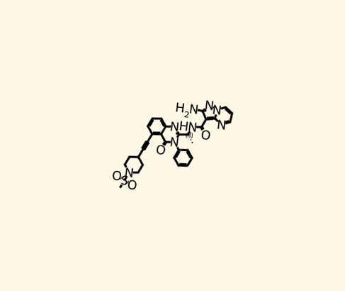 C[C@@H](NC(=O)c1c(N)nn2cccnc12)c1nc2cccc(C#CC3CCN(S(C)(=O)=O)CC3)c2c(=O)n1-c1ccccc1